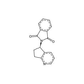 O=C1c2ccccc2C(=O)N1[C@@H]1CCc2ncccc21